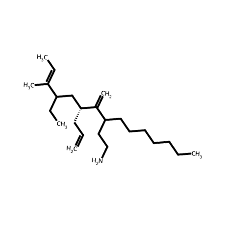 C=CC[C@H](CC(CC)/C(C)=C/C)C(=C)C(CCN)CCCCCCC